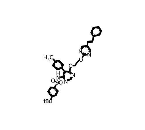 Cc1ccc(-c2c(NS(=O)(=O)c3ccc(C(C)(C)C)cc3)ncnc2OCCOc2ncc(C=Cc3ccccc3)cn2)cc1